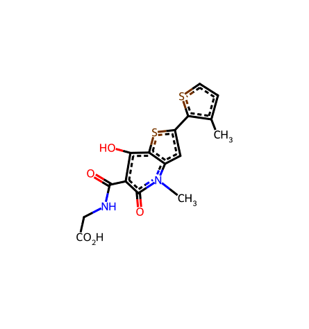 Cc1ccsc1-c1cc2c(s1)c(O)c(C(=O)NCC(=O)O)c(=O)n2C